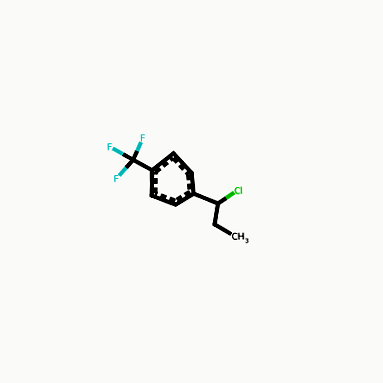 CCC(Cl)c1ccc(C(F)(F)F)cc1